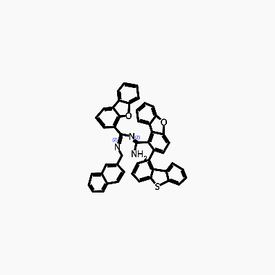 N/C(=N\C(=N/Cc1ccc2ccccc2c1)c1cccc2c1oc1ccccc12)c1c(-c2cccc3sc4ccccc4c23)ccc2oc3ccccc3c12